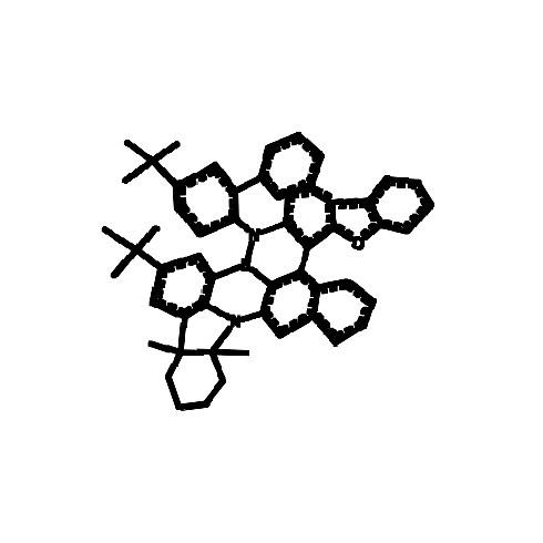 CC(C)(C)c1ccc(N2B3c4cc(C(C)(C)C)cc5c4N(c4cc6ccccc6c(c43)-c3c2ccc2c3oc3ccccc32)C2(C)CCCCC52C)c(-c2ccccc2)c1